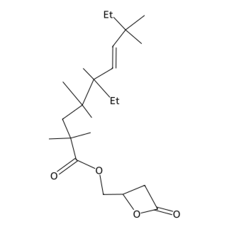 CCC(C)(C)/C=C/C(C)(CC)C(C)(C)CC(C)(C)C(=O)OCC1CC(=O)O1